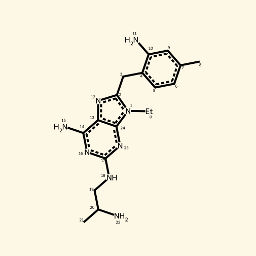 CCn1c(Cc2ccc(C)cc2N)nc2c(N)nc(NCC(C)N)nc21